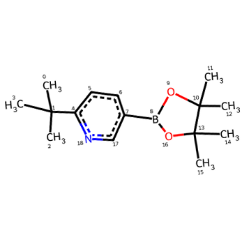 CC(C)(C)c1ccc(B2OC(C)(C)C(C)(C)O2)cn1